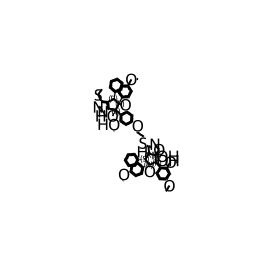 COc1ccc([C@@]23Oc4cc(OCCSC5=NO[C@]6(O)[C@H]5[C@@H](c5ccccc5)[C@]5(c7ccc(OC)cc7)Oc7cc(OC)cc(OC)c7[C@]65O)cc(OC)c4[C@]2(O)c2[nH]nc(SC)c2[C@H]3c2ccccc2)cc1